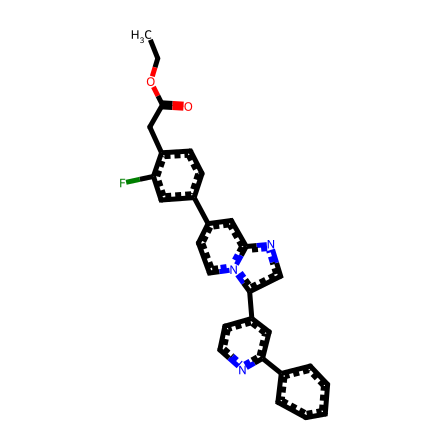 CCOC(=O)Cc1ccc(-c2ccn3c(-c4ccnc(-c5ccccc5)c4)cnc3c2)cc1F